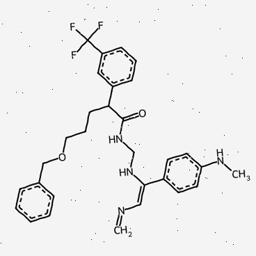 C=N/C=C(\NCNC(=O)C(CCCOCc1ccccc1)c1cccc(C(F)(F)F)c1)c1ccc(NC)cc1